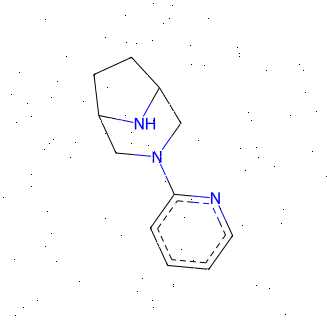 c1ccc(N2CC3CCC(C2)N3)nc1